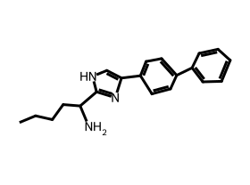 CCCCC(N)c1nc(-c2ccc(-c3ccccc3)cc2)c[nH]1